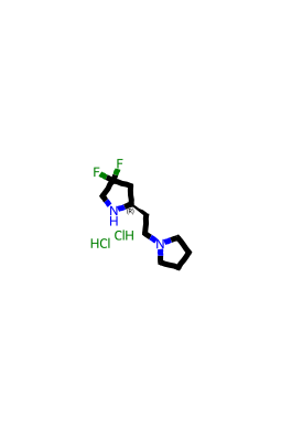 Cl.Cl.FC1(F)CN[C@H](CCN2CCCC2)C1